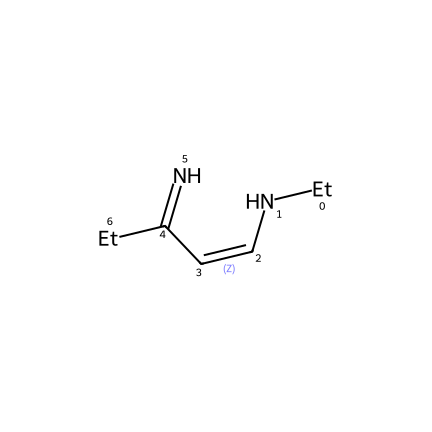 CCN/C=C\C(=N)CC